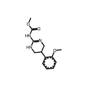 COC(=O)NC1=NCC(c2ccccc2OC)CN1